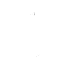 CC(=O)OC(C)Oc1ccc(C#N)cc1